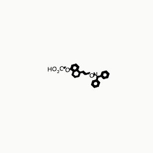 O=C(O)COc1cccc2c1CCCC2C=CCON=C(c1ccccc1)c1ccccc1